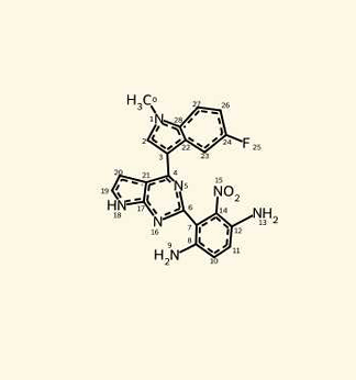 Cn1cc(-c2nc(-c3c(N)ccc(N)c3[N+](=O)[O-])nc3[nH]ccc23)c2cc(F)ccc21